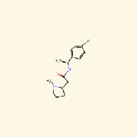 C[C@H](NC(=O)CC1CCCN1C)c1ccc(Cl)cc1